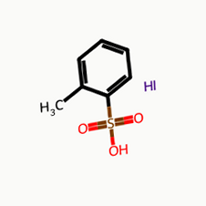 Cc1ccccc1S(=O)(=O)O.I